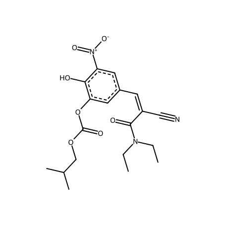 CCN(CC)C(=O)C(C#N)=Cc1cc(OC(=O)OCC(C)C)c(O)c([N+](=O)[O-])c1